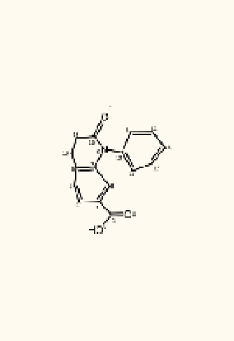 O=C(O)c1ccc2c(c1)N(c1ccccc1)C(=O)CC2